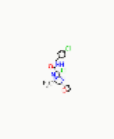 O=C(NCc1ccc(Cl)cc1)c1nn2c(C(F)(F)F)cc(-c3ccco3)nc2c1Cl